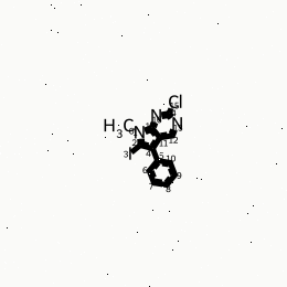 Cn1c(I)c(-c2ccccc2)c2cnc(Cl)nc21